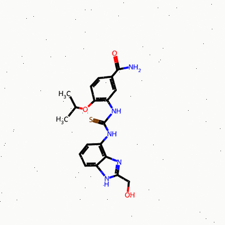 CC(C)Oc1ccc(C(N)=O)cc1NC(=S)Nc1cccc2[nH]c(CO)nc12